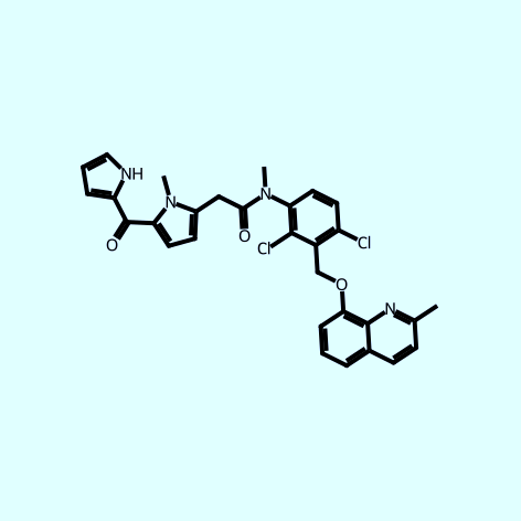 Cc1ccc2cccc(OCc3c(Cl)ccc(N(C)C(=O)Cc4ccc(C(=O)c5ccc[nH]5)n4C)c3Cl)c2n1